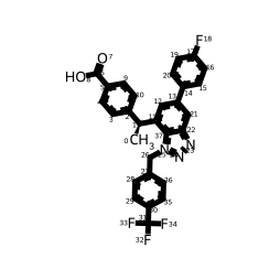 C[C@@H](c1ccc(C(=O)O)cc1)c1cc(-c2ccc(F)cc2)cc2nnn(Cc3ccc(C(F)(F)F)cc3)c12